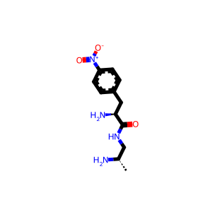 C[C@H](N)CNC(=O)[C@@H](N)Cc1ccc([N+](=O)[O-])cc1